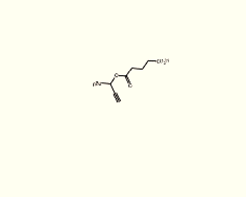 C#CC(CCCC)OC(=O)CCCC(=O)O